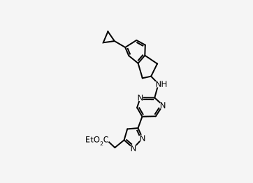 CCOC(=O)CC1=NN=C(c2cnc(NC3Cc4ccc(C5CC5)cc4C3)nc2)C1